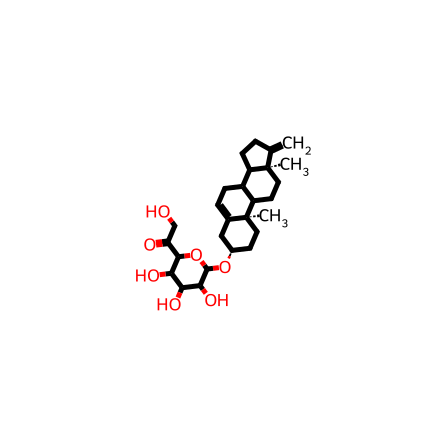 C=C1CCC2C3CC=C4C[C@@H](OC5OC(C(=O)CO)C(O)C(O)C5O)CC[C@]4(C)C3CC[C@]12C